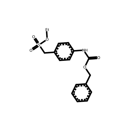 CCOS(=O)(=O)Cc1ccc(NC(=O)OCc2ccccc2)cc1